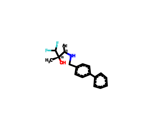 CC(=O)[C@@H](NCc1ccc(-c2ccccc2)cc1)[C@](C)(O)C(F)F